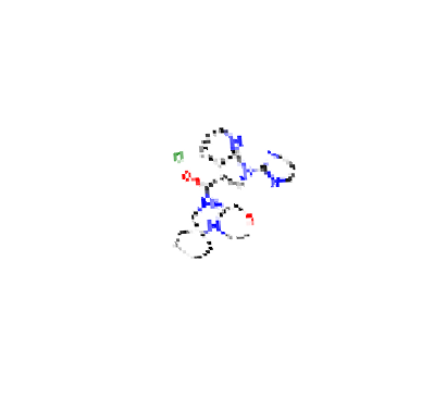 O=C(NCC1(N2CCOCC2)CCCCC1)c1cn(-c2ncccn2)c2nccc(Cl)c12